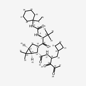 CCC1(NC(=O)N[C@H](C(=O)N2C[C@H]3[C@@H]([C@H]2C(=O)NC(CC2CCC2)C(=O)C(C)=O)C3(C)C)C(C)(C)C)CCCCC1